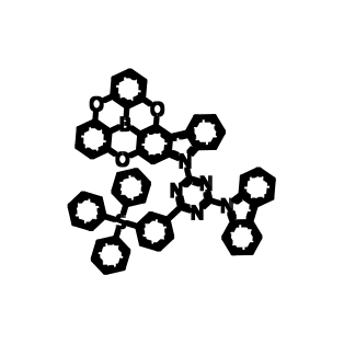 c1ccc(S(c2ccccc2)(c2ccccc2)c2cccc(-c3nc(-n4c5ccccc5c5ccccc54)nc(-n4c5ccccc5c5c6c7c(cc54)Oc4cccc5c4B7c4c(cccc4O6)O5)n3)c2)cc1